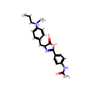 CC(=O)Nc1ccc(C2=NC(Cc3ccc(N(C)CCCl)cc3)C(=O)O2)cc1